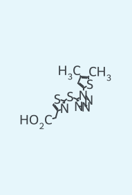 Cc1cc(-n2nnnc2Sc2nc(CC(=O)O)cs2)sc1C